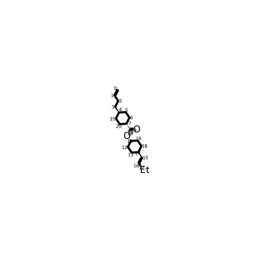 C=CCC[C@H]1CC[C@H](C(=O)O[C@H]2CC[C@H](C=CCC)CC2)CC1